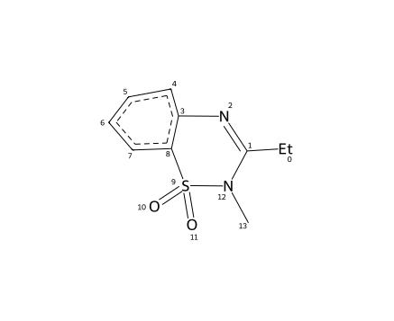 CCC1=Nc2ccccc2S(=O)(=O)N1C